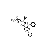 CS(=O)(=O)/C=C/[C@@H](NC(=O)c1cnc(C2CCCC2)nc1Oc1ccccc1)C1CC1